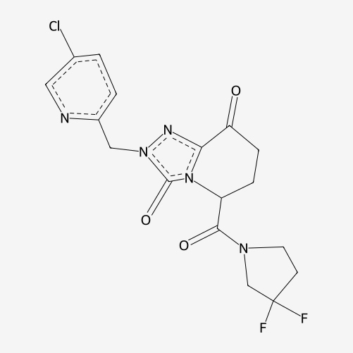 O=C1CCC(C(=O)N2CCC(F)(F)C2)n2c1nn(Cc1ccc(Cl)cn1)c2=O